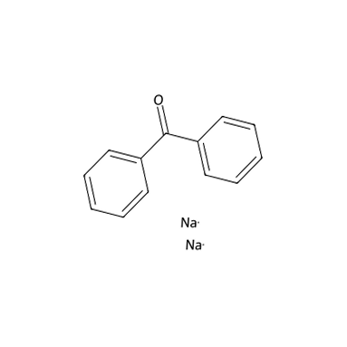 O=C(c1ccccc1)c1ccccc1.[Na].[Na]